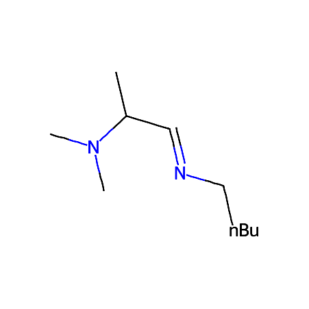 CCCCC/N=C/C(C)N(C)C